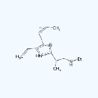 C=Cc1[nH]c(C(C)CNCC)nc1/C=C\C